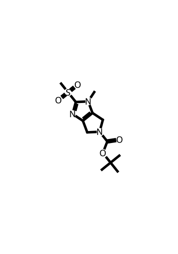 Cn1c(S(C)(=O)=O)nc2c1CN(C(=O)OC(C)(C)C)C2